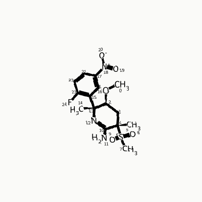 CO[C@H]1C[C@](C)(S(C)(=O)=O)C(N)=N[C@]1(C)c1cc([N+](=O)[O-])ccc1F